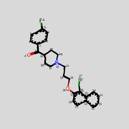 O=C(c1ccc(F)cc1)C1CCN(CCCOc2ccc3ccccc3c2Br)CC1